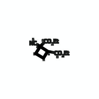 CCOC(=O)C1CCC1(C#N)C(=O)OCC